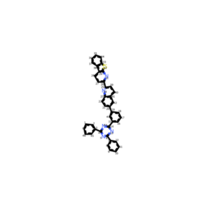 c1ccc(-c2nc(-c3ccccc3)nc(-c3cccc(-c4ccc5nc(-c6ccc7c(n6)sc6ccccc67)ccc5c4)c3)n2)cc1